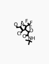 Cn1c(C=O)c(Cl)c(C(=O)C(=O)NC(C)(C)C)c1C(F)(F)F